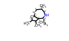 CC(C)C(C)[C@@]1(C)CCC[C@H](C)CN[C@@H]1C